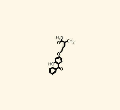 CC(=CCCOc1ccc(C(=O)c2ccccc2)c(O)c1)C(N)=O